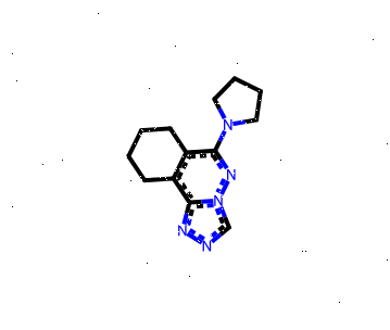 c1nnc2c3c(c(N4CCCC4)nn12)CCCC3